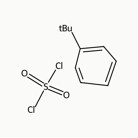 CC(C)(C)c1ccccc1.O=S(=O)(Cl)Cl